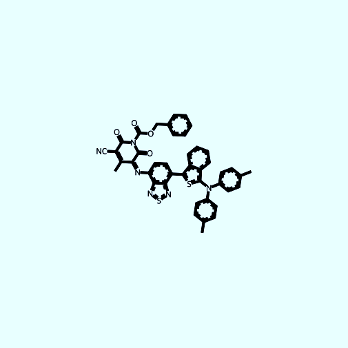 CC1=C(C#N)C(=O)N(C(=O)OCc2ccccc2)C(=O)/C1=N\c1ccc(-c2sc(N(c3ccc(C)cc3)c3ccc(C)cc3)c3ccccc23)c2nsnc12